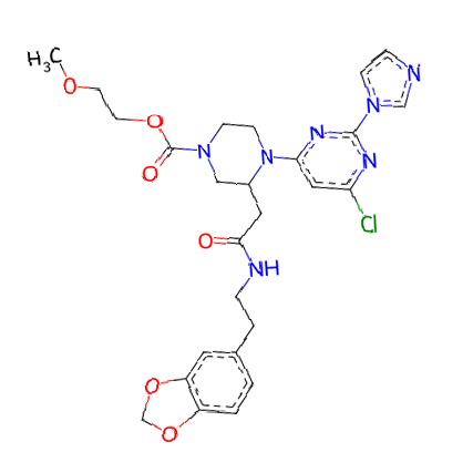 COCCOC(=O)N1CCN(c2cc(Cl)nc(-n3ccnc3)n2)C(CC(=O)NCCc2ccc3c(c2)OCO3)C1